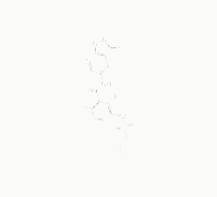 Bc1n[nH]c2ncc(NC(=O)c3c(F)ccc(NS(=O)(=O)CCC)c3F)cc12